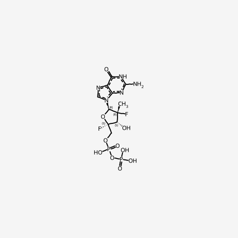 C[C@]1(F)[C@H](n2cnc3c(=O)[nH]c(N)nc32)O[C@](F)(COP(=O)(O)OP(=O)(O)O)[C@H]1O